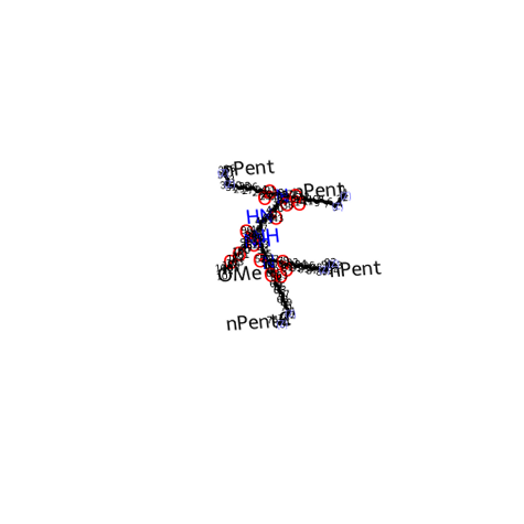 CCCCC/C=C\C/C=C\CCCCCCCC(=O)OCCN(CCOC(=O)CCCCCCC/C=C\C/C=C\CCCCC)C(=O)CCCC(=O)NCCCC[C@H](NC(=O)CCCC(=O)N(CCOC(=O)CCCCCCC/C=C\C/C=C\CCCCC)CCOC(=O)CCCCCCC/C=C\C/C=C\CCCCC)C(=O)NCCCOCCOCCOC